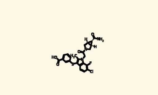 Cc1c(Sc2cccc(C(=O)O)c2)c2ccc(Cl)c(F)c2n1CC(=O)N1C[C@@H]2[C@H](C1)[C@H]2C(N)=O